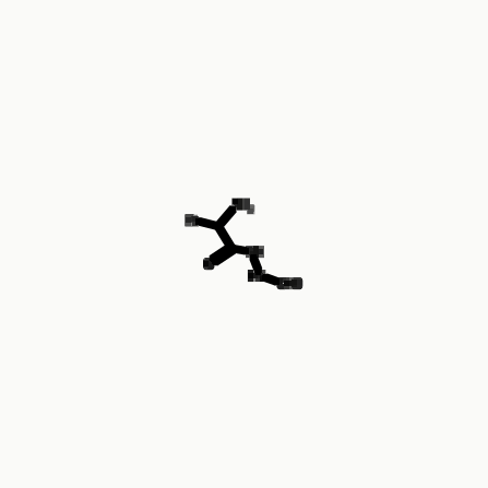 CCC(N)C(=O)NNC=O